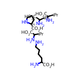 CC(C)C(N)C(=O)O.CC(C)C(N)C(=O)O.CC(C)C(N)C(=O)O.NCCCCC(N)C(=O)O.O=C(O)[C@@H]1CCCN1